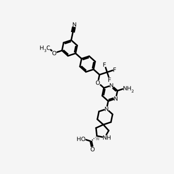 COc1cc(C#N)cc(-c2ccc(C(Oc3cc(N4CCC5(CC4)CN[C@H](C(=O)O)C5)nc(N)n3)C(F)(F)F)cc2)c1